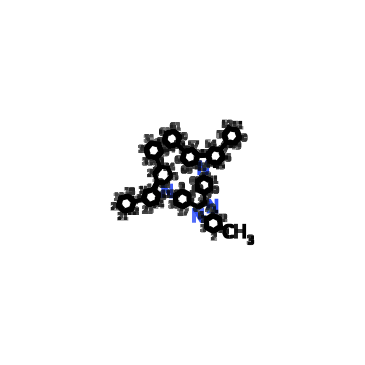 Cc1ccc2nc(-c3ccc(-n4c5c(c6cc(-c7ccccc7)ccc64)C=C(c4ccccc4)CC5)cc3)c(-c3ccc(-n4c5ccc(-c6ccccc6)cc5c5cc(-c6ccccc6)ccc54)cc3)nc2c1